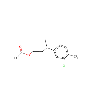 CCC(=O)OCCC(C)c1ccc(C(F)(F)F)c(Cl)c1